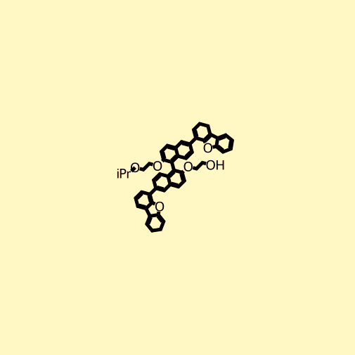 CC(C)OCCOc1ccc2cc(C3=CCCc4c3oc3ccccc43)ccc2c1-c1c(OCCO)ccc2cc(-c3cccc4c5c(oc34)=CCCC=5)ccc12